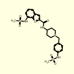 CS(=O)(=O)Nc1ccc(CN2CCC(NC(=O)c3cc4cccc(NS(C)(=O)=O)c4o3)CC2)cc1